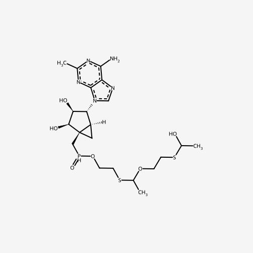 Cc1nc(N)c2ncn([C@H]3[C@H](O)[C@H](O)[C@@]4(C[PH](=O)OCCSC(C)OCCSC(C)O)C[C@H]34)c2n1